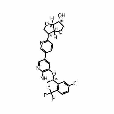 C[C@@H](Oc1cc(-c2ccc([C@H]3CO[C@H]4[C@@H]3OC[C@H]4O)nc2)cnc1N)c1cc(Cl)ccc1C(F)(F)F